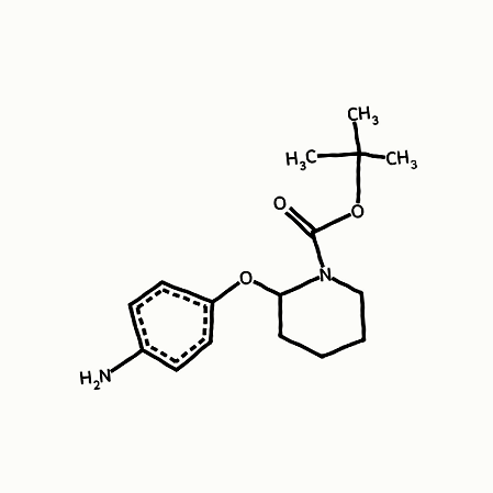 CC(C)(C)OC(=O)N1CCCCC1Oc1ccc(N)cc1